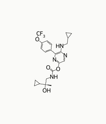 C[C@](O)(CNC(=O)Oc1cnc(NCC2CC2)c(-c2ccc(OC(F)(F)F)cc2)n1)C1CC1